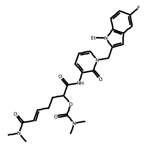 CCn1c(Cn2cccc(NC(=O)C(CCC=CC(=O)N(C)C)OC(=O)N(C)C)c2=O)cc2cc(F)ccc21